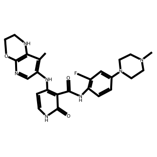 Cc1c(Nc2cc[nH]c(=O)c2C(=O)Nc2ccc(N3CCN(C)CC3)cc2F)cnc2c1NCCO2